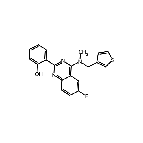 CN(Cc1ccsc1)c1nc(-c2ccccc2O)nc2ccc(F)cc12